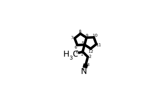 CC(CC#N)C12CCCC1CCC2